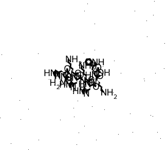 NCCCC[C@H](NC(=O)[C@H](Cc1c[nH]cn1)NC(=O)[C@H](CCCCN)NC(=O)[C@H](Cc1c[nH]cn1)NC(=O)[C@H](CCCCN)NC(=O)[C@H](Cc1c[nH]cn1)NC(=O)CN)C(=O)N[C@@H](Cc1c[nH]c2ccccc12)C(=O)O